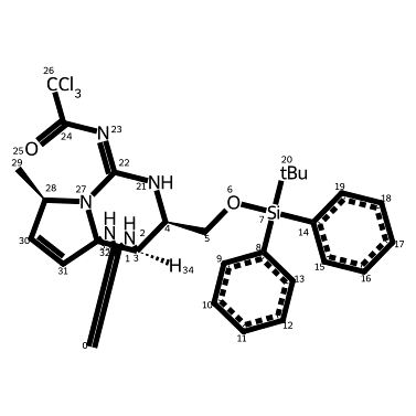 C=C1N[C@H]2[C@H](CO[Si](c3ccccc3)(c3ccccc3)C(C)(C)C)N/C(=N/C(=O)C(Cl)(Cl)Cl)N3[C@H](C)C=C[C@]23N1